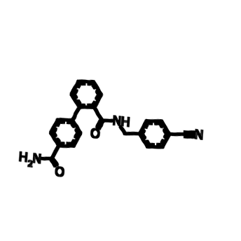 N#Cc1ccc(CNC(=O)c2ccccc2-c2ccc(C(N)=O)cc2)cc1